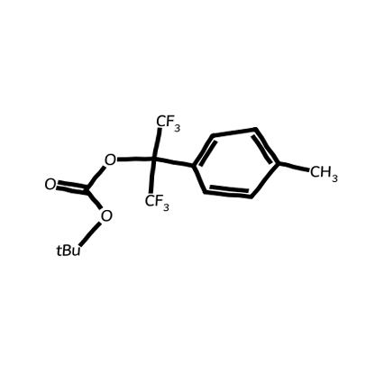 Cc1ccc(C(OC(=O)OC(C)(C)C)(C(F)(F)F)C(F)(F)F)cc1